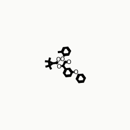 Cc1ccccc1OC(=O)C(OC(=O)C1C(C)(C)C1(C)C)c1cccc(Oc2ccccc2)c1